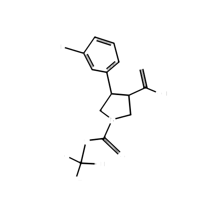 CC(C)(C)OC(=O)N1CC(C(=O)O)C(c2cccc(F)c2)C1